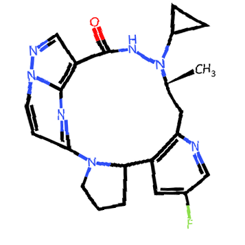 C[C@H]1Cc2ncc(F)cc2C2CCCN2c2ccn3ncc(c3n2)C(=O)NN1C1CC1